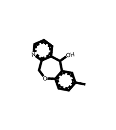 Cc1ccc2c(c1)C(O)c1cccnc1CO2